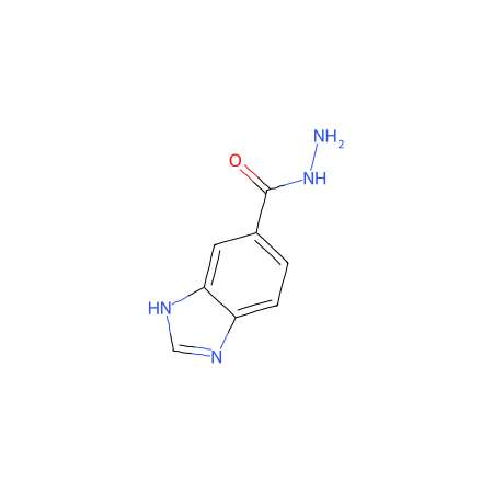 NNC(=O)c1ccc2nc[nH]c2c1